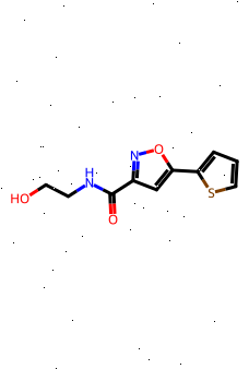 O=C(NCCO)c1cc(-c2cccs2)on1